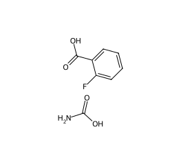 NC(=O)O.O=C(O)c1ccccc1F